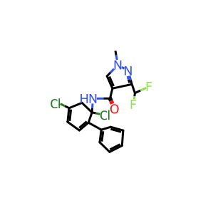 Cn1cc(C(=O)NC2(Cl)CC(Cl)=CC=C2c2ccccc2)c(C(F)F)n1